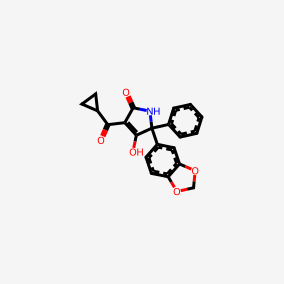 O=C1NC(c2ccccc2)(c2ccc3c(c2)OCO3)C(O)=C1C(=O)C1CC1